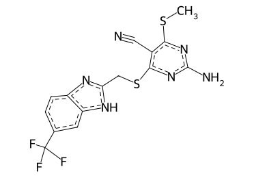 CSc1nc(N)nc(SCc2nc3ccc(C(F)(F)F)cc3[nH]2)c1C#N